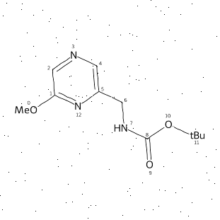 COc1cncc(CNC(=O)OC(C)(C)C)n1